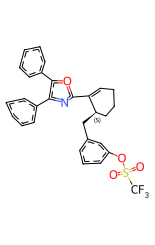 O=S(=O)(Oc1cccc(C[C@@H]2CCCC=C2c2nc(-c3ccccc3)c(-c3ccccc3)o2)c1)C(F)(F)F